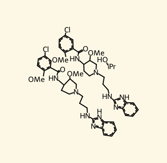 CC(C)O.COc1ccc(Cl)cc1C(=O)NC1CCN(CCCNc2nc3ccccc3[nH]2)CC1OC.COc1ccc(Cl)cc1C(=O)NC1CCN(CCCNc2nc3ccccc3[nH]2)CC1OC